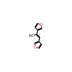 N#C/C(=C\c1ccoc1)c1ccoc1